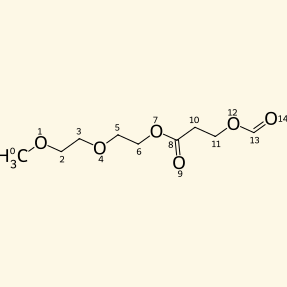 COCCOCCOC(=O)CCOC=O